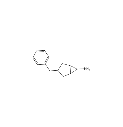 NC1C2CC(Cc3ccccc3)CC12